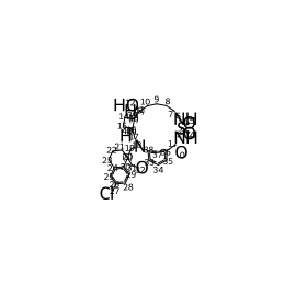 O=C1NS(=O)(=O)NCCCC[C@H](O)[C@@H]2CC[C@H]2CN2C[C@@]3(CCCc4cc(Cl)ccc43)COc3ccc1cc32